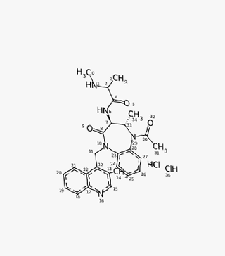 CNC(C)C(=O)N[C@@H]1C(=O)N(Cc2c(C)cnc3ccccc23)c2ccccc2N(C(C)=O)[C@H]1C.Cl.Cl